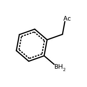 Bc1ccccc1CC(C)=O